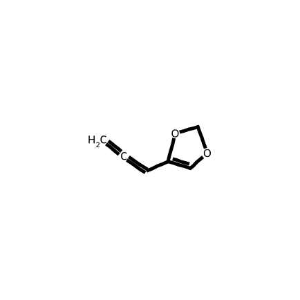 C=C=CC1=COCO1